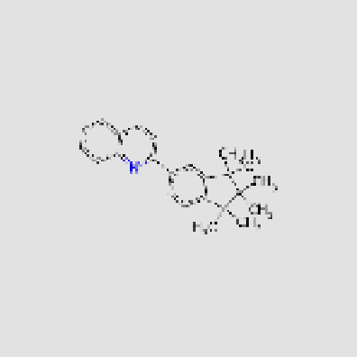 CC1(C)c2ccc(-c3ccc4ccccc4n3)cc2C(C)(C)C1(C)C